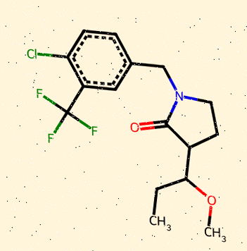 CCC(OC)C1CCN(Cc2ccc(Cl)c(C(F)(F)F)c2)C1=O